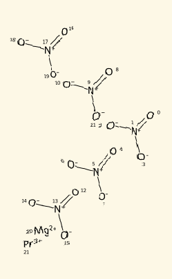 O=[N+]([O-])[O-].O=[N+]([O-])[O-].O=[N+]([O-])[O-].O=[N+]([O-])[O-].O=[N+]([O-])[O-].[Mg+2].[Pr+3]